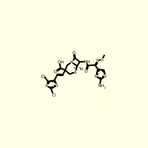 CON=C(C(=O)NC1C(=O)N2CC(C=Cc3sc(Cl)nc3Cl)(C(=O)O)CS[C@H]12)c1csc(N)n1